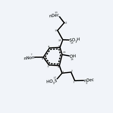 CCCCCCCCCCCCC(c1cc(CCCCCCCCC)cc(C(CCCCCCCCCCCC)S(=O)(=O)O)c1O)S(=O)(=O)O